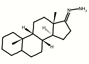 C[C@]12CCCCC1CC[C@@H]1[C@H]2CC[C@]2(C)C(=NN)CC[C@@H]12